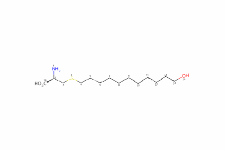 N[C@@H](CSCCCCCCCCCCCO)C(=O)O